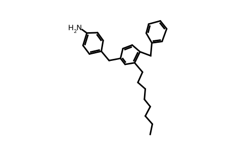 CCCCCCCCc1cc(Cc2ccc(N)cc2)ccc1Cc1ccccc1